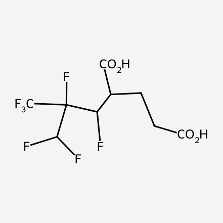 O=C(O)CCC(C(=O)O)C(F)C(F)(C(F)F)C(F)(F)F